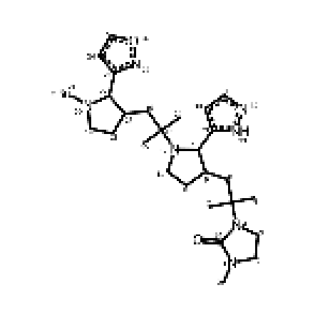 CN1CCN(C(C)(C)CC2CCN(C(C)(C)CC3CCN(C(C)(C)C)C3c3ccon3)C2c2ccn[nH]2)C1=O